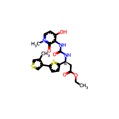 CCOC(=O)C[C@H](NC(=O)Nc1c(O)ccn(C)c1=O)c1ccc(-c2cscc2C)s1